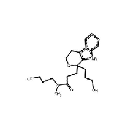 CCCCN(C)C(=O)CCC1(CCCO)OCCc2c1[nH]c1ccccc21